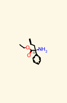 C=CC[C@@](N)(C(=O)OCC)c1ccccc1